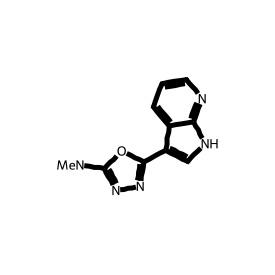 CNc1nnc(-c2c[nH]c3ncccc23)o1